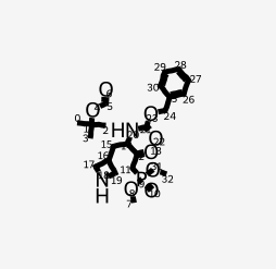 CC(C)(C)OC=O.COP(=O)(CC(=O)C(CC1CNC1)NC(=O)OCc1ccccc1)OC